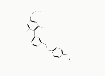 CCCCCCOc1cc(C)c(-c2cccc(CNc3ccc(OCC(=O)O)cc3)c2)c(C)c1